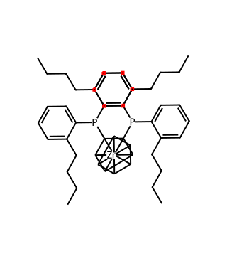 CCCCc1ccccc1P(c1ccccc1CCCC)[C]12[CH]3[CH]4[CH]5[C]1(P(c1ccccc1CCCC)c1ccccc1CCCC)[Zr]43521678[CH]2[CH]1[CH]6[CH]7[CH]28